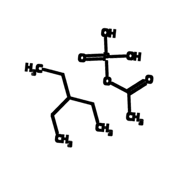 CC(=O)OP(=O)(O)O.CCC(CC)CC